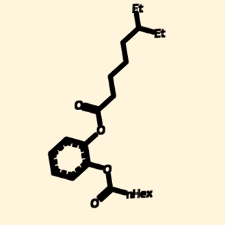 CCCCCCC(=O)Oc1ccccc1OC(=O)CCCCC(CC)CC